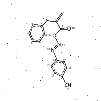 C=C(Cc1ccccc1)C(=O)ON=Nc1ccc(C#N)cc1